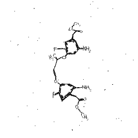 COC(=O)c1cc(F)c(OCCC(C)Oc2cc(N)c(C(=O)OC)cc2F)cc1N